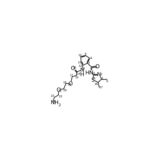 CC1N=C(NC(=O)c2ccccc2NC(=O)CCOCCOCCN)SC1C